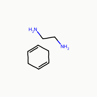 C1=CCC=CC1.NCCN